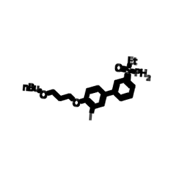 CCCCOCCCOc1ccc(-c2cccc([SH](=O)(P)CC)c2)cc1I